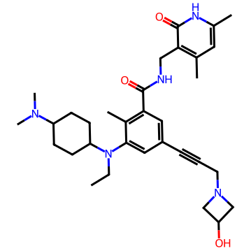 CCN(c1cc(C#CCN2CC(O)C2)cc(C(=O)NCc2c(C)cc(C)[nH]c2=O)c1C)C1CCC(N(C)C)CC1